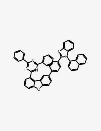 c1ccc(-c2nc(-c3ccccc3)nc(-c3cccc4oc5ccc(-c6ccc(-c7nc8ccccc8n7-c7cccc8ccccc78)cc6)cc5c34)n2)cc1